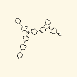 C[Si](C)(C)c1ccc(-n2c3ccccc3c3cc(-c4ccc(N(c5ccc(-c6ccccc6)cc5)c5ccc(-c6ccc(-c7ccccc7)cc6)cc5)cc4)ccc32)cc1